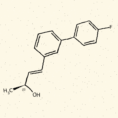 C[C@H](O)C=Cc1cccc(-c2ccc(F)cc2)c1